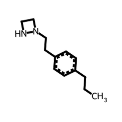 CCCc1ccc(CCN2CCN2)cc1